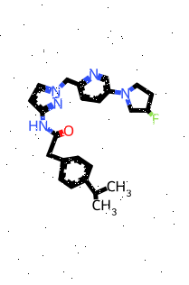 CC(C)c1ccc(CC(=O)Nc2ccn(Cc3ccc(N4CCC(F)C4)cn3)n2)cc1